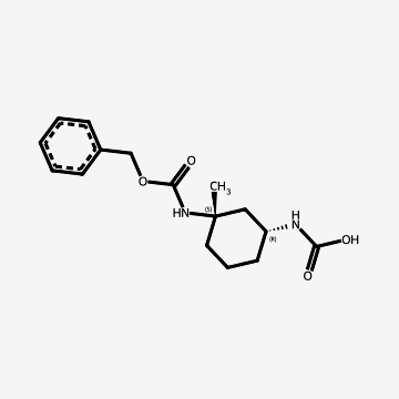 C[C@]1(NC(=O)OCc2ccccc2)CCC[C@@H](NC(=O)O)C1